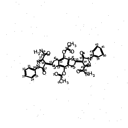 CC(=O)Oc1c2c(c(OC(C)=O)c3c1SC(=C1C(=O)N(c4ccccc4)N=C1C(N)=O)S3)SC(=C1C(=O)N(c3ccccc3)N=C1C(N)=O)S2